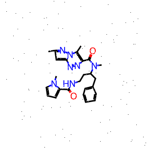 Cc1cc2nnc(C(=O)N(C)C(CCNC(=O)c3cccn3C)Cc3ccccc3)c(C)n2n1